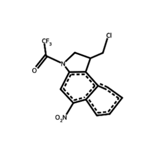 O=C(N1CC(CCl)c2c1cc([N+](=O)[O-])c1ccccc21)C(F)(F)F